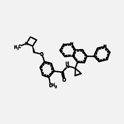 Cc1ccc(OC[C@@H]2CCN2C)cc1C(=O)NC1(c2cc(-c3cccnc3)cc3ncccc23)CC1